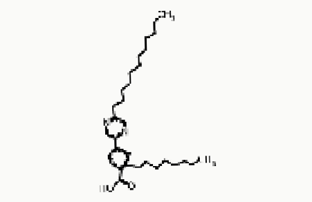 CCCCCCCCCCCCc1cnc(-c2ccc(C(=O)O)c(CCCCCCCC)c2)cn1